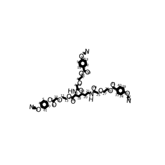 N#COc1ccc(OC(=O)COCCOC(=O)C(CCCCNC(=O)COCCOC(=O)c2ccc(OC#N)cc2)NC(=O)COCCOC(=O)c2ccc(OC#N)cc2)cc1